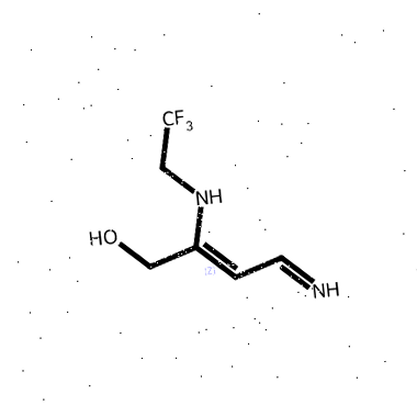 N=C/C=C(/CO)NCC(F)(F)F